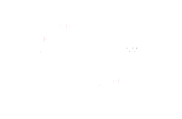 CNc1cc(O)c2c(c1)/C=C/CC(O)C(O)C(=O)/C(F)=C\C(C)C(C)OC2=O